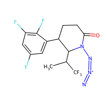 CC(C1C(c2cc(F)cc(F)c2F)CCC(=O)N1N=[N+]=[N-])C(F)(F)F